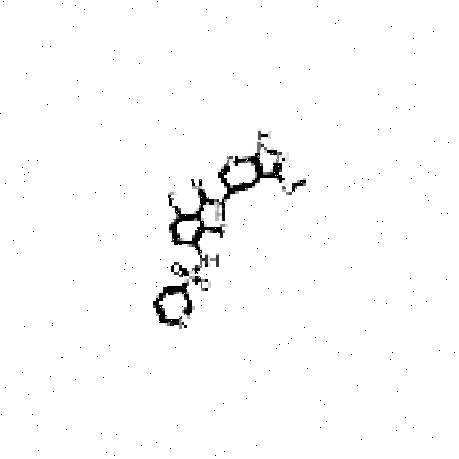 COc1n[nH]c2ncc(NC(=O)c3c(F)ccc(NS(=O)(=O)c4cccnc4)c3F)cc12